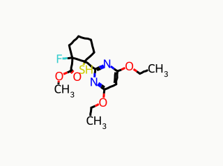 CCOc1cc(OCC)nc(C2(S)CCCCC2(F)C(=O)OC)n1